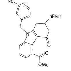 CCCCCC1CC(=O)c2c(n(Cc3cccc(C#N)c3)c3cccc(C(=O)OC)c23)C1